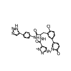 CC(C)n1cc(-c2ccc(Cl)c(CC(NC(=O)c3ccnn3C)C(=O)Nc3ccc(-c4cnn[nH]4)cc3)c2)ccc1=O